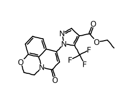 CCOC(=O)c1cnn(-c2cc(=O)n3c4c(cccc24)OCC3)c1C(F)(F)F